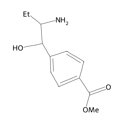 CCC(N)C(O)c1ccc(C(=O)OC)cc1